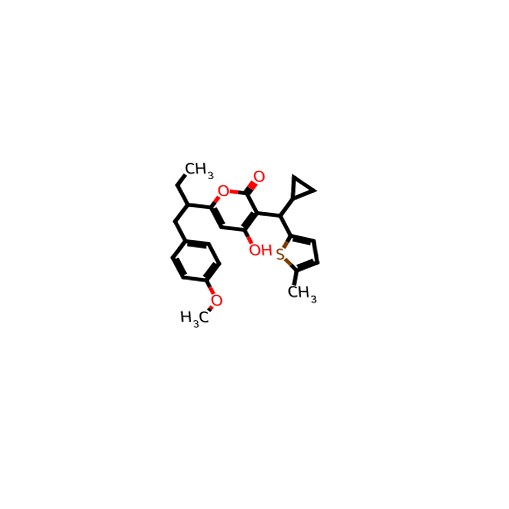 CCC(Cc1ccc(OC)cc1)c1cc(O)c(C(c2ccc(C)s2)C2CC2)c(=O)o1